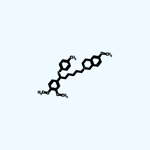 COc1ccc2c(c1)CCN(CCCCCC(Sc1ccc(C)cc1)c1ccc(OC)c(OC)c1)C2